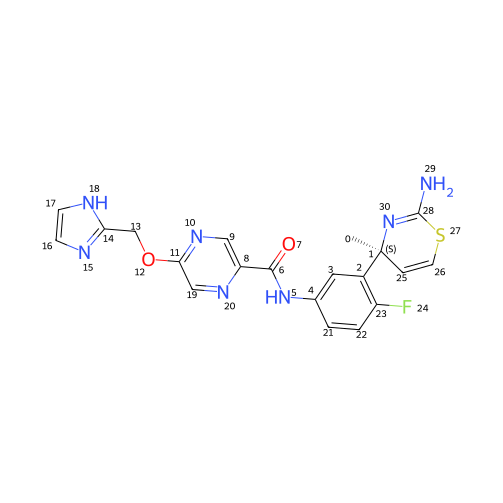 C[C@@]1(c2cc(NC(=O)c3cnc(OCc4ncc[nH]4)cn3)ccc2F)C=CSC(N)=N1